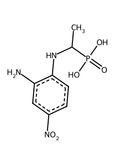 CC(Nc1ccc([N+](=O)[O-])cc1N)P(=O)(O)O